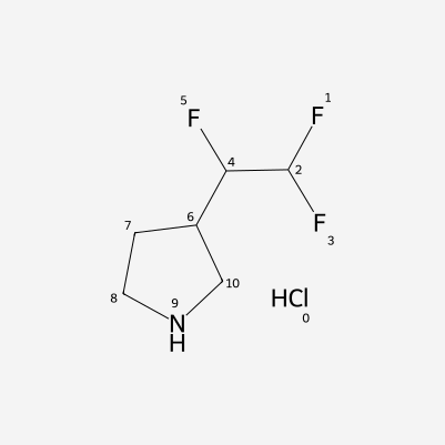 Cl.FC(F)C(F)C1CCNC1